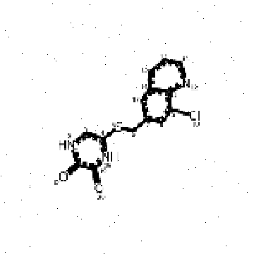 O=c1[nH]cc(SCc2cc(Cl)c3ncccc3c2)[nH]c1=O